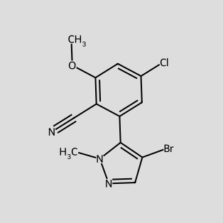 COc1cc(Cl)cc(-c2c(Br)cnn2C)c1C#N